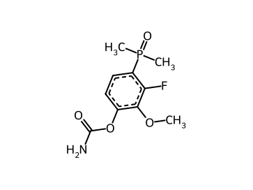 COc1c(OC(N)=O)ccc(P(C)(C)=O)c1F